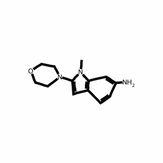 Cn1c(N2CCOCC2)cc2ccc(N)cc21